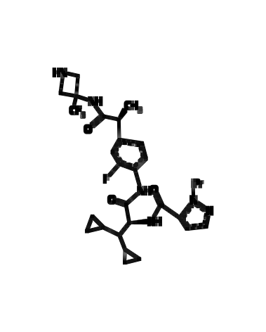 CC(C)n1nccc1C(=O)N[C@H](C(=O)Nc1ccc([C@H](C)C(=O)NC2(C(F)(F)F)CNC2)cc1F)C(C1CC1)C1CC1